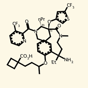 CCC[C@H]1N(C(=O)c2ncccc2C(F)(F)F)CCC[C@@]1(Oc1csc(C(F)(F)F)c1)C(=O)N(C)CCC(N)(CC)c1ccccc1OC(C)CCC1(C(=O)O)CCC1